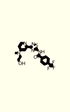 CN(CCO)c1ccnc(-c2nsc(NC(=O)c3ccc(C(F)(F)F)cc3)n2)c1